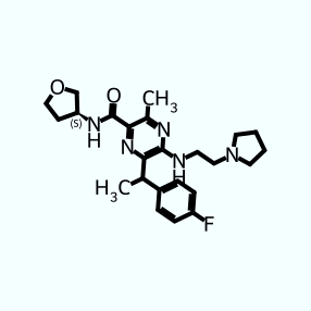 Cc1nc(NCCN2CCCC2)c(C(C)c2ccc(F)cc2)nc1C(=O)N[C@H]1CCOC1